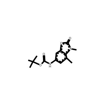 Cc1cc(NC(=O)OC(C)(C)C)cc2oc(=O)n(C)c12